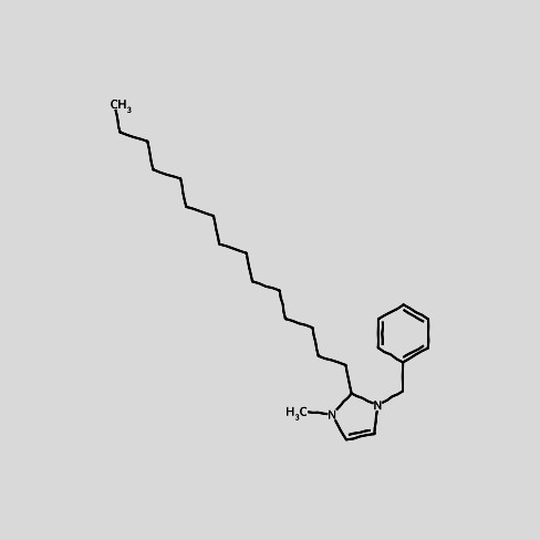 CCCCCCCCCCCCCCCC1N(C)C=CN1Cc1ccccc1